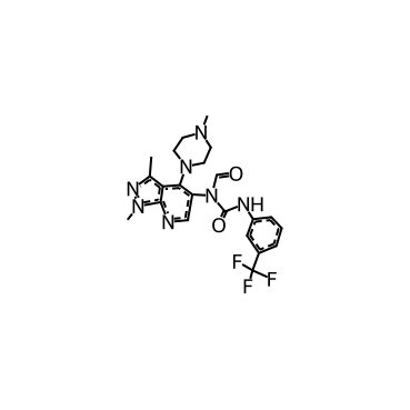 Cc1nn(C)c2ncc(N(C=O)C(=O)Nc3cccc(C(F)(F)F)c3)c(N3CCN(C)CC3)c12